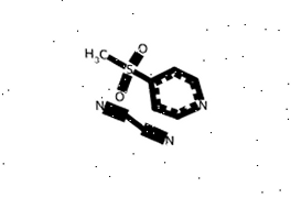 CS(=O)(=O)c1ccncc1.N#CC#N